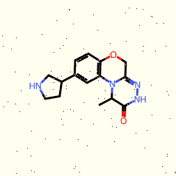 CC1C(=O)NN=C2COc3ccc(C4CCNC4)cc3N21